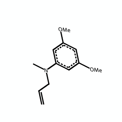 C=CCN(C)c1cc(OC)cc(OC)c1